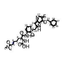 CN(C)C(=O)/C=C/CC[C@H](NC(=O)O)C(=O)Nc1cccn(Cc2cc3ncc(F)c(OCc4ccccc4)c3[nH]2)c1=O